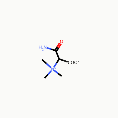 C[N+](C)(C)C(C(N)=O)C(=O)[O-]